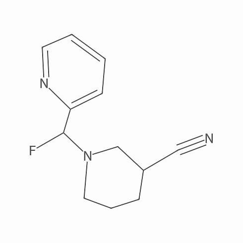 N#CC1CCCN(C(F)c2ccccn2)C1